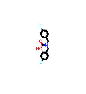 O=C(O)N(Cc1ccc(F)cc1)Cc1ccc(F)cc1